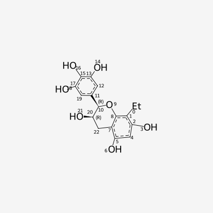 CCc1c(O)cc(O)c2c1O[C@H](c1cc(O)c(O)c(O)c1)[C@H](O)C2